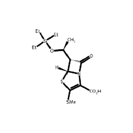 CC[Si](CC)(CC)O[C@@H](C)[C@@H]1C(=O)N2C(C(=O)O)=C(SC)S[C@H]12